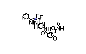 N=C(/C=C(\Nc1ccc(NC(=O)c2ccc(=O)n(CC(=O)NC3CC3)c2)nc1)C(F)(F)F)c1cccnc1